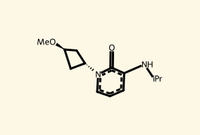 CO[C@H]1C[C@H](n2cccc(NC(C)C)c2=O)C1